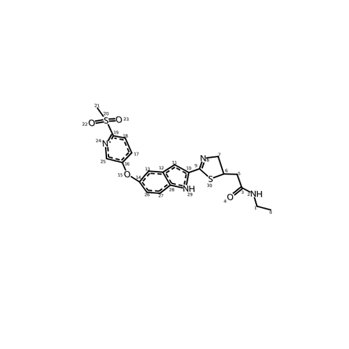 CCNC(=O)CC1CN=C(c2cc3cc(Oc4ccc(S(C)(=O)=O)nc4)ccc3[nH]2)S1